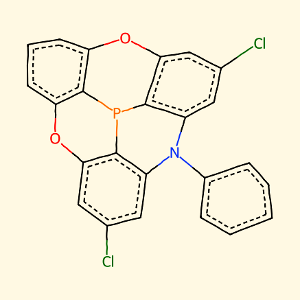 Clc1cc2c3c(c1)N(c1ccccc1)c1cc(Cl)cc4c1P3c1c(cccc1O4)O2